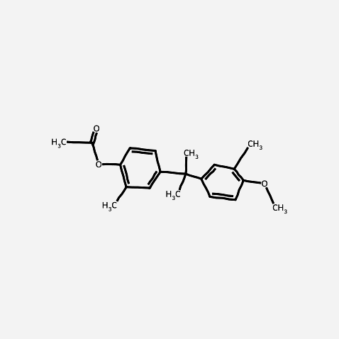 COc1ccc(C(C)(C)c2ccc(OC(C)=O)c(C)c2)cc1C